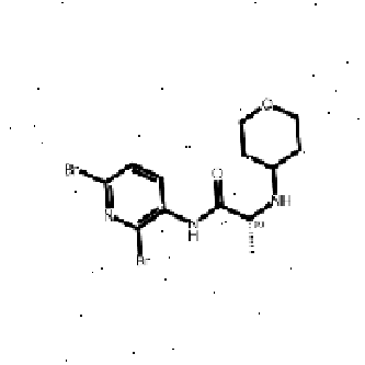 C[C@@H](NC1CCOCC1)C(=O)Nc1ccc(Br)nc1Br